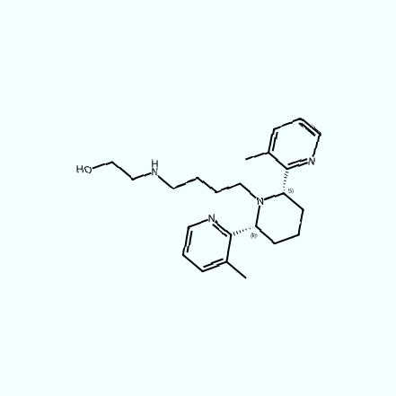 Cc1cccnc1[C@H]1CCC[C@@H](c2ncccc2C)N1CCCCNCCO